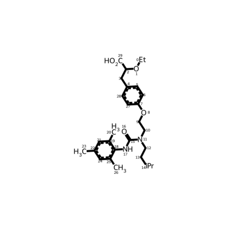 CCOC(Cc1ccc(OCCN(CCC(C)C)C(=O)Nc2c(C)cc(C)cc2C)cc1)C(=O)O